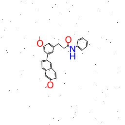 COc1cc(CCC(=O)Nc2ccccc2)cc(-c2ccc3cc(OC)ccc3c2)c1